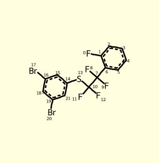 Fc1ccccc1C(F)(F)C(F)(F)Sc1cc(Br)[c]c(Br)c1